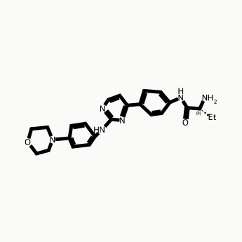 CC[C@@H](N)C(=O)Nc1ccc(-c2ccnc(Nc3ccc(N4CCOCC4)cc3)n2)cc1